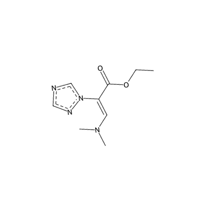 CCOC(=O)/C(=C/N(C)C)n1cncn1